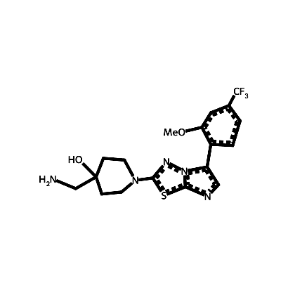 COc1cc(C(F)(F)F)ccc1-c1cnc2sc(N3CCC(O)(CN)CC3)nn12